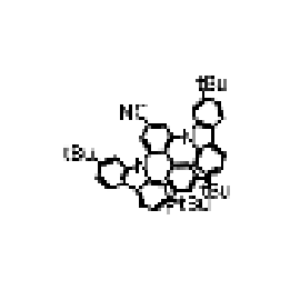 CC(C)(C)c1ccc2c3ccc(C(C)(C)C)cc3n(-c3cc(C#N)cc(-n4c5cc(C(C)(C)C)ccc5c5ccc(C(C)(C)C)cc54)c3-c3cc(F)cc(F)c3)c2c1